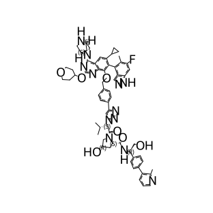 Cc1ncccc1-c1ccc([C@H](CO)NC(=O)[C@@H]2C[C@@H](O)CN2C(=O)[C@H](C(C)C)n2cc(-c3ccc(COc4c(-c5c(C)c(F)cc6[nH]ncc56)c(C5CC5)cc5c(N6C[C@@H]7C[C@H]6CN7)nc(OC6CCOCC6)nc45)cc3)nn2)cc1